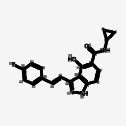 O=C(NC1CC1)c1ccc2[nH]nc(/C=C/c3ccc(F)cc3)c2c1O